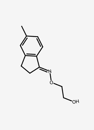 Cc1ccc2c(c1)CC/C2=N\OCCO